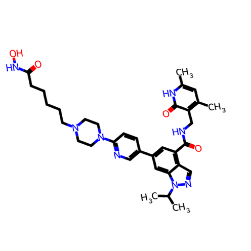 Cc1cc(C)c(CNC(=O)c2cc(-c3ccc(N4CCN(CCCCCC(=O)NO)CC4)nc3)cc3c2cnn3C(C)C)c(=O)[nH]1